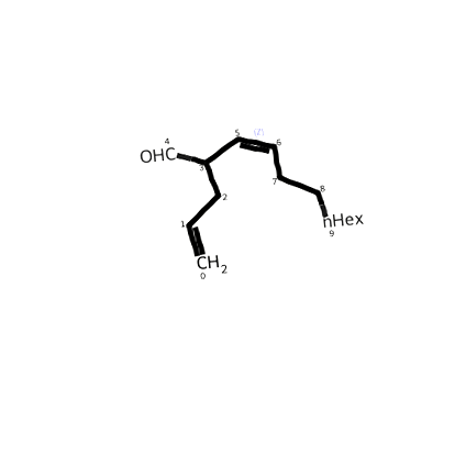 C=CCC(C=O)/C=C\CCCCCCCC